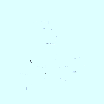 CC(OC(C)(C)C)[C@H](NC(=O)c1ccc2ccccc2c1OCc1ccc(S(F)(F)(F)(F)F)cc1)C(=O)O